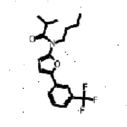 CCCCN(C(=O)C(C)C)c1ccc(-c2cccc(C(F)(F)F)c2)o1